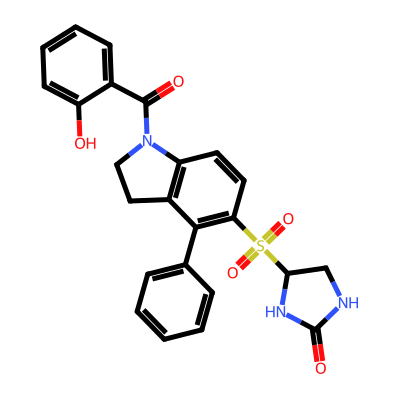 O=C1NCC(S(=O)(=O)c2ccc3c(c2-c2ccccc2)CCN3C(=O)c2ccccc2O)N1